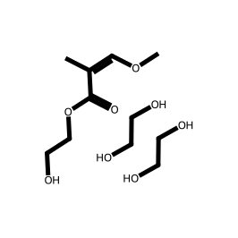 COC=C(C)C(=O)OCCO.OCCO.OCCO